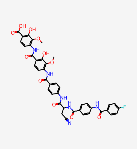 COc1c(NC(=O)c2ccc(NC(=O)c3ccc(NC(=O)C(CC#N)NC(=O)c4ccc(NC(=O)c5ccc(F)cc5)cc4)cc3)c(OC)c2O)ccc(C(=O)O)c1O